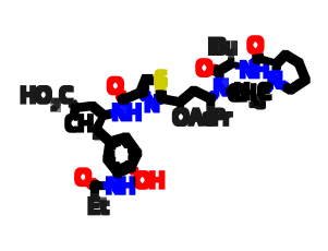 CCC(=O)Nc1cc(C[C@@H](CC(C)C(=O)O)NC(=O)c2csc([C@@H](CC(C(C)C)N(C)C(=O)[C@@H](NC(=O)[C@H]3CCCCN3C)[C@@H](C)CC)OC(C)=O)n2)ccc1O